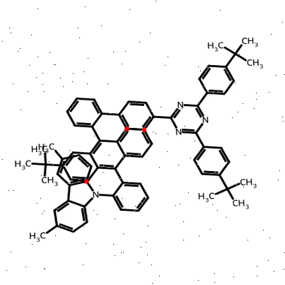 Cc1ccc2c(c1)c1cc(C)ccc1n2-c1ccccc1-c1c2ccccc2c(-c2ccccc2-c2ccc(-c3nc(-c4ccc(C(C)(C)C)cc4)nc(-c4ccc(C(C)(C)C)cc4)n3)cc2)c2cc(C(C)(C)C)ccc12